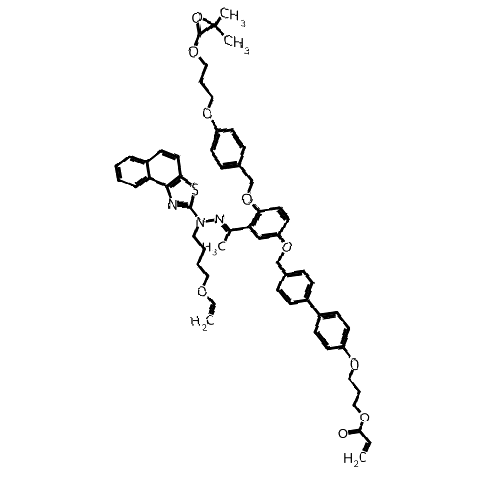 C=COCCCCN(/N=C(\C)c1cc(OCc2ccc(-c3ccc(OCCCOC(=O)C=C)cc3)cc2)ccc1OCc1ccc(OCCCOC2OC2(C)C)cc1)c1nc2c(ccc3ccccc32)s1